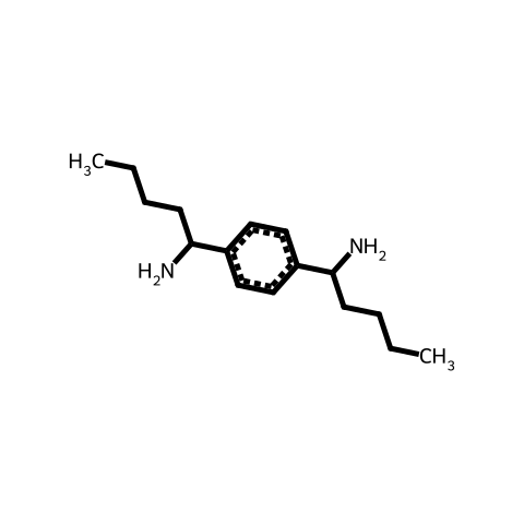 CCCCC(N)c1ccc(C(N)CCCC)cc1